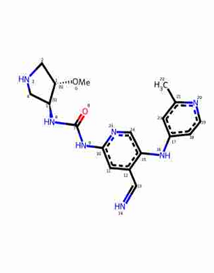 CO[C@H]1CNC[C@@H]1NC(=O)Nc1cc(C=N)c(Nc2ccnc(C)c2)cn1